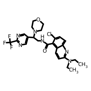 CCN(CC)c1ccc2c(C(=O)NCC(c3cnc(C(F)(F)F)nc3)N3CCOCC3)c(Cl)ccc2n1